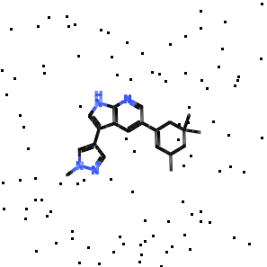 CC1C=C(c2cnc3[nH]cc(-c4cnn(C)c4)c3c2)CC(C)(C)C1